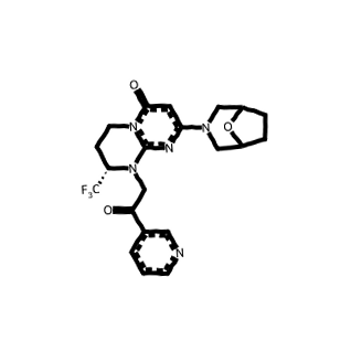 O=C(CN1c2nc(N3CC4CCC(C3)O4)cc(=O)n2CC[C@H]1C(F)(F)F)c1cccnc1